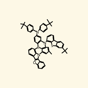 Cc1cc2c3c(c1)-n1c4c(cccc4c4oc5ccccc5c41)B3c1ccc(N(c3ccc(C(C)(C)C)cc3)c3ccc(C(C)(C)C)cc3)cc1N2c1cccc2c1sc1cc(C(C)(C)C)ccc12